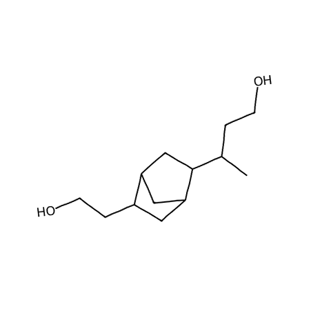 CC(CCO)C1CC2CC1CC2CCO